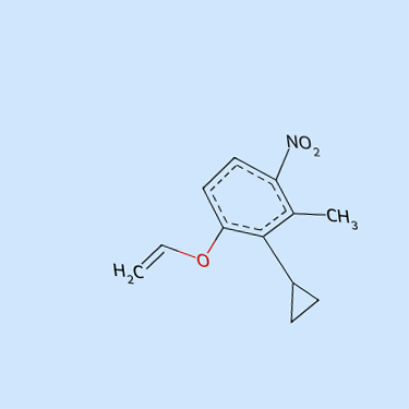 C=COc1ccc([N+](=O)[O-])c(C)c1C1CC1